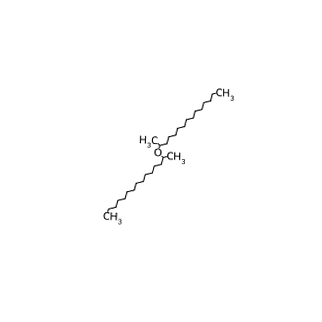 CCCCCCCCCCCCCC(C)OC(C)CCCCCCCCCCCCC